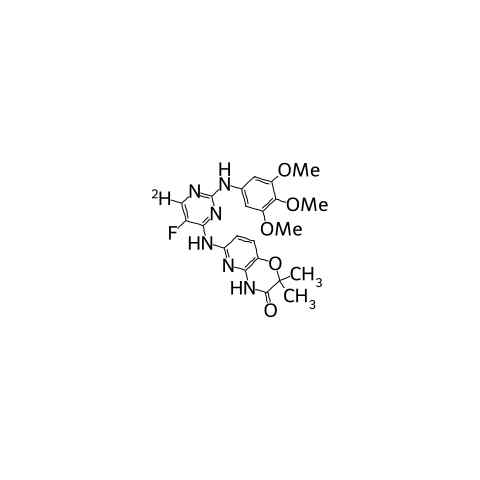 [2H]c1nc(Nc2cc(OC)c(OC)c(OC)c2)nc(Nc2ccc3c(n2)NC(=O)C(C)(C)O3)c1F